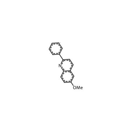 COc1ccc2nc(-c3c[c]ccc3)ccc2c1